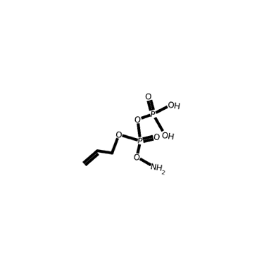 C=CCOP(=O)(ON)OP(=O)(O)O